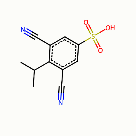 CC(C)c1c(C#N)cc(S(=O)(=O)O)cc1C#N